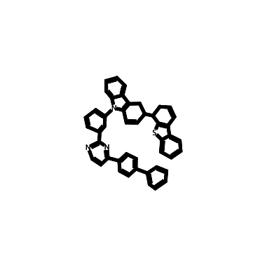 C1=Cc2c(sc3ccccc23)C(C2C=Cc3c(c4ccccc4n3-c3cccc(-c4nccc(-c5ccc(-c6ccccc6)cc5)n4)c3)C2)C1